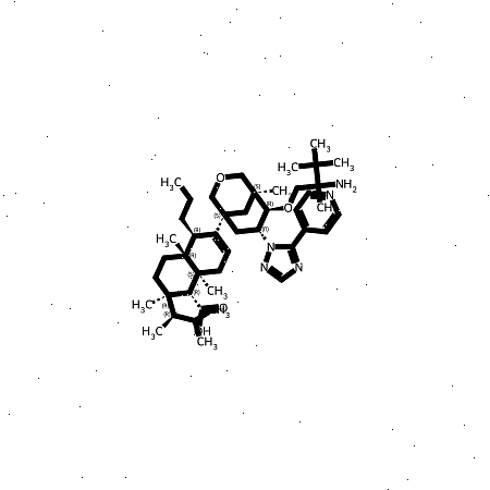 CCC[C@H]1C([C@]23COC[C@](C)(C2)[C@@H](OCC(C)(N)C(C)(C)C)[C@H](n2ncnc2-c2ccncc2)C3)=CC[C@@]2(C)[C@H](C(=O)O)[C@@](C)([C@H](C)C(C)C)CC[C@]12C